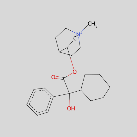 C[N+]12CCC(CC1)C(OC(=O)C(O)(c1ccccc1)C1CCCCC1)C2